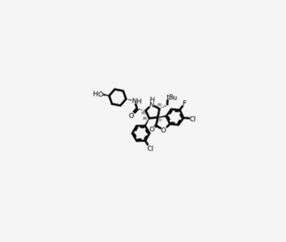 CC(C)(C)C[C@H]1N[C@@H](C(=O)N[C@H]2CC[C@H](O)CC2)[C@H](c2cccc(Cl)c2)[C@@]12C(=O)Oc1cc(Cl)c(F)cc12